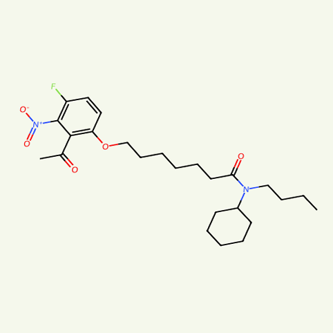 CCCCN(C(=O)CCCCCCOc1ccc(F)c([N+](=O)[O-])c1C(C)=O)C1CCCCC1